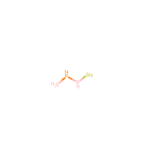 BPBS